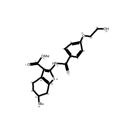 COC(=O)c1c(NC(=O)c2ccc(OCCO)cc2)sc2c1CCC(C(C)(C)C)C2